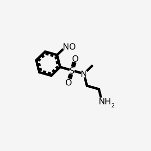 CN(CCN)S(=O)(=O)c1ccccc1N=O